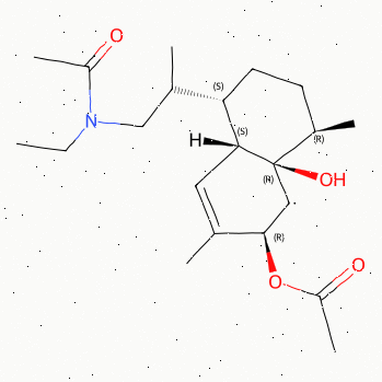 CCN(CC(C)[C@@H]1CC[C@@H](C)[C@]2(O)[CH][C@@H](OC(C)=O)C(C)=C[C@H]12)C(C)=O